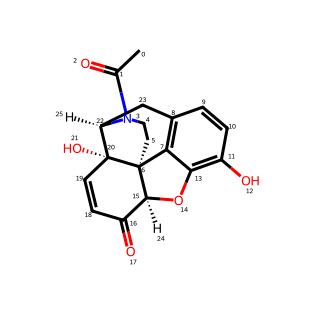 CC(=O)N1CC[C@]23c4c5ccc(O)c4O[C@H]2C(=O)C=C[C@@]3(O)[C@H]1C5